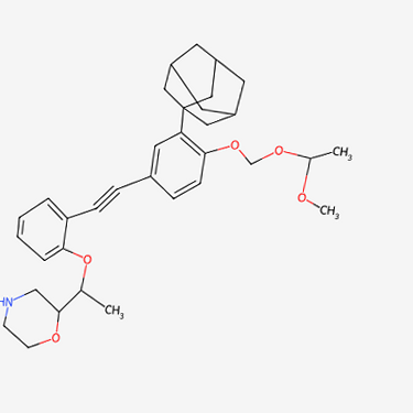 COC(C)OCOc1ccc(C#Cc2ccccc2OC(C)C2CNCCO2)cc1C12CC3CC(CC(C3)C1)C2